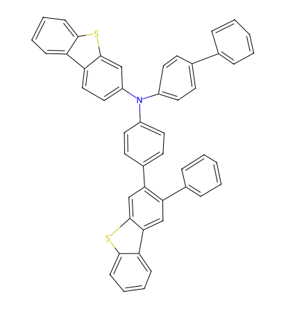 c1ccc(-c2ccc(N(c3ccc(-c4cc5sc6ccccc6c5cc4-c4ccccc4)cc3)c3ccc4c(c3)sc3ccccc34)cc2)cc1